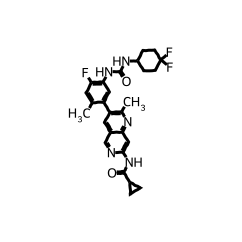 Cc1cc(F)c(NC(=O)NC2CCC(F)(F)CC2)cc1-c1cc2cnc(NC(=O)C3CC3)cc2nc1C